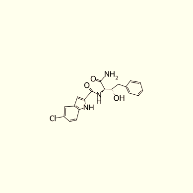 NC(=O)[C@H](NC(=O)c1cc2cc(Cl)ccc2[nH]1)[C@@H](O)Cc1ccccc1